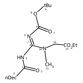 CCCCCCCCCCC(=O)N/C(=N/C(=O)OC(C)(C)C)N(C)CC(=O)OCC